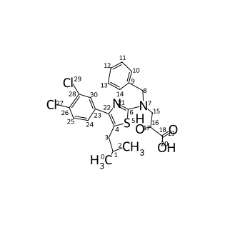 CC(C)Cc1sc(N(Cc2ccccc2)CC(O)C(=O)O)nc1-c1ccc(Cl)c(Cl)c1